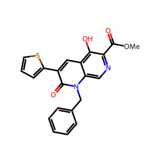 COC(=O)c1ncc2c(cc(-c3cccs3)c(=O)n2Cc2ccccc2)c1O